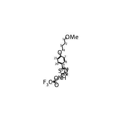 COCCCCOc1ccc(-c2nnc(NOC(=O)C(F)(F)F)s2)cc1